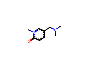 CN(C)Cc1ccc(=O)n(C)c1